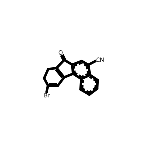 N#Cc1cc2c(c3ccccc13)C1=C(CCC(Br)=C1)C2=O